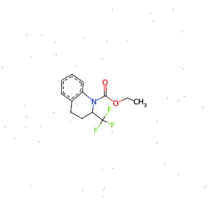 CCOC(=O)N1c2ccccc2CCC1C(F)(F)F